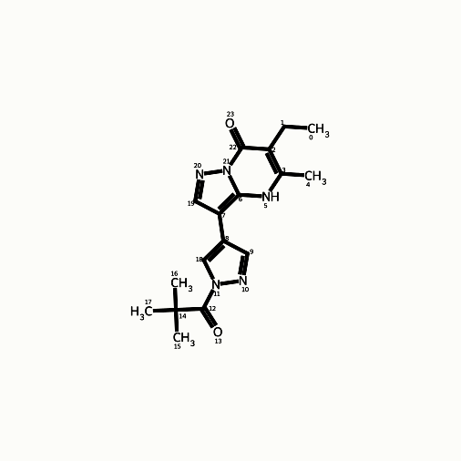 CCc1c(C)[nH]c2c(-c3cnn(C(=O)C(C)(C)C)c3)cnn2c1=O